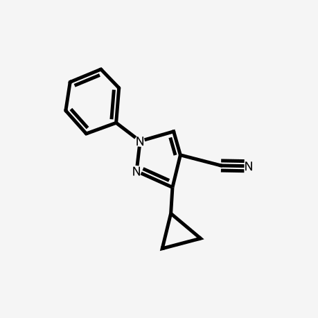 N#Cc1cn(-c2ccccc2)nc1C1CC1